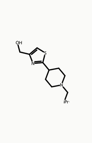 C[C](C)CN1CCC(c2nc(CO)cs2)CC1